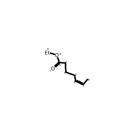 C/C=C\CCCC(=O)OCC